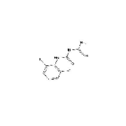 N=C(N)NC(=O)Nc1c(F)cccc1F